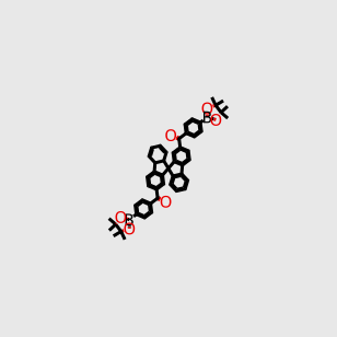 CC1(C)OB(c2ccc(C(=O)c3ccc4c(c3)C3(c5ccccc5-4)c4cc(C(=O)c5ccc(B6OC(C)(C)C(C)(C)O6)cc5)ccc4C4C=CC=CC43)cc2)OC1(C)C